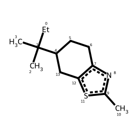 CCC(C)(C)C1CCc2nc(C)sc2C1